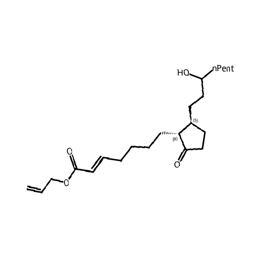 C=CCOC(=O)C=CCCCC[C@H]1C(=O)CC[C@@H]1CCC(O)CCCCC